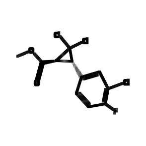 COC(=O)[C@@H]1[C@@H](c2ccc(F)c(Cl)c2)C1(Cl)Cl